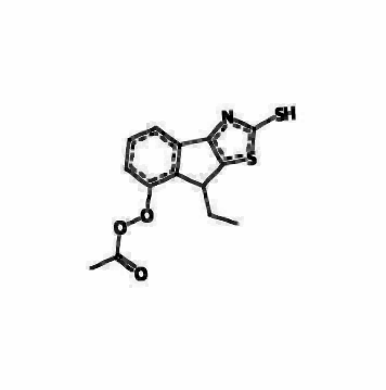 CCC1c2sc(S)nc2-c2cccc(OOC(C)=O)c21